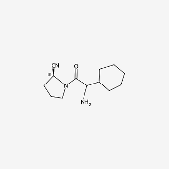 N#C[C@@H]1CCCN1C(=O)C(N)C1CCCCC1